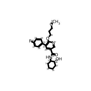 COCCCOc1ncc(C(=O)NC2CCCC[C@H]2O)cc1-c1ccc(F)cc1